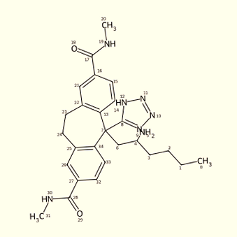 CCCCC(N)CC1(c2nnn[nH]2)c2ccc(C(=O)NC)cc2CCc2cc(C(=O)NC)ccc21